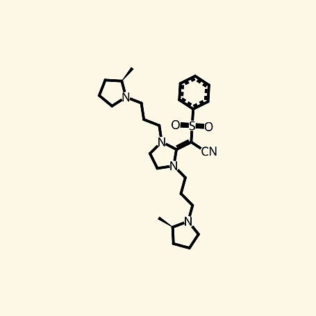 C[C@@H]1CCCN1CCCN1CCN(CCCN2CCC[C@H]2C)C1=C(C#N)S(=O)(=O)c1ccccc1